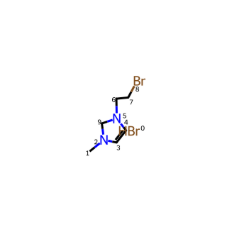 Br.CN1C=CN(CCBr)C1